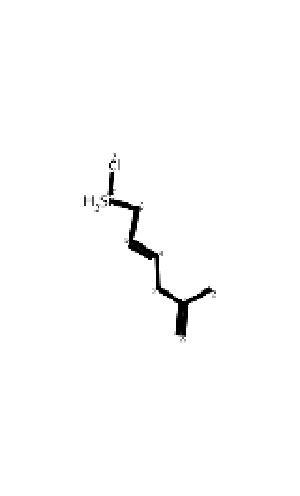 C=C(C)CC=CC[SiH2]Cl